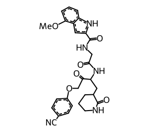 COc1cccc2[nH]c(C(=O)NCC(=O)NC(CC3CCCNC3=O)C(=O)COc3ccc(C#N)cc3)cc12